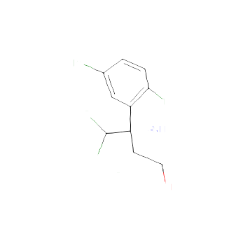 N[C@@](c1cc(Br)ccc1F)(C(F)F)[C@@H](F)CO